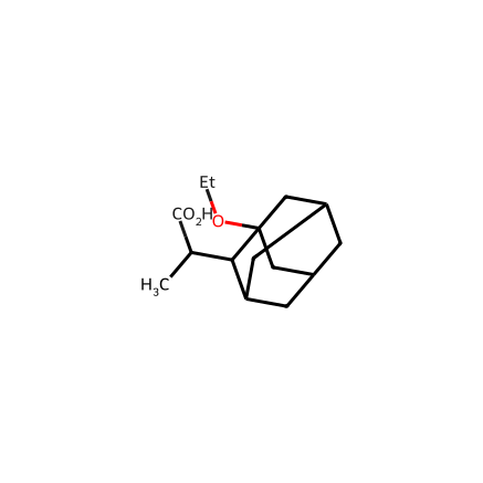 CCOC12CC3CC(CC(C3)C1C(C)C(=O)O)C2